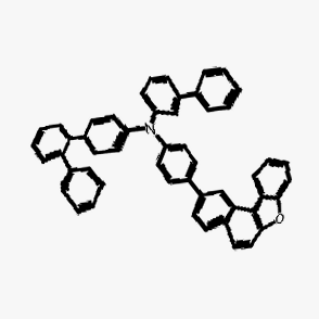 c1ccc(-c2cccc(N(c3ccc(-c4ccc5ccc6oc7ccccc7c6c5c4)cc3)c3ccc(-c4ccccc4-c4ccccc4)cc3)c2)cc1